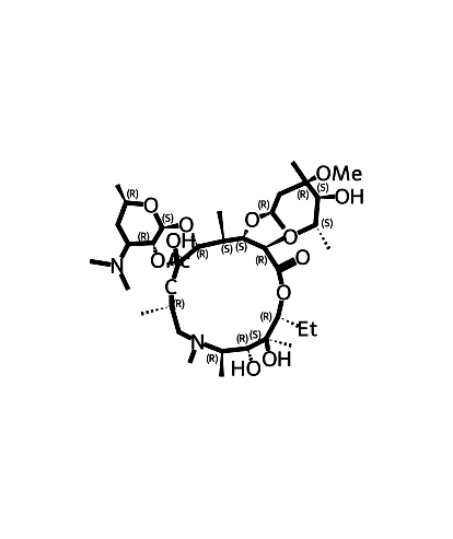 CC[C@H]1OC(=O)[C@H](C)[C@@H](O[C@H]2C[C@@](C)(OC)[C@@H](O)[C@H](C)O2)[C@H](C)[C@@H](O[C@@H]2O[C@H](C)CC(N(C)C)[C@H]2OC(C)=O)[C@](C)(O)C[C@@H](C)CN(C)[C@H](C)[C@@H](O)[C@]1(C)O